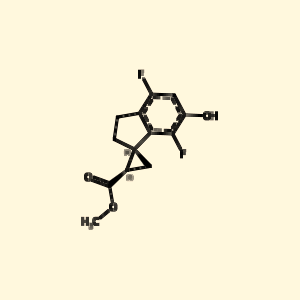 COC(=O)[C@@H]1C[C@]12CCc1c(F)cc(O)c(F)c12